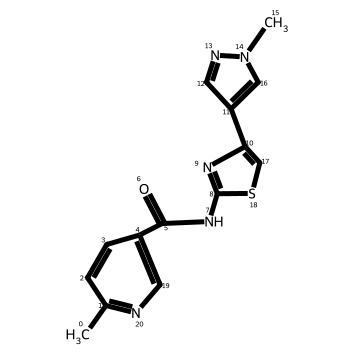 Cc1ccc(C(=O)Nc2nc(-c3cnn(C)c3)cs2)cn1